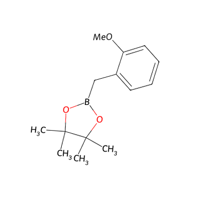 COc1ccccc1CB1OC(C)(C)C(C)(C)O1